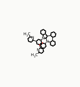 Cc1cccc(-c2cc(-c3cccc(C)n3)cc(-n3c4c(c5ccccc53)-c3ccccc3-c3ccccc3N4c3ccccc3)c2)n1